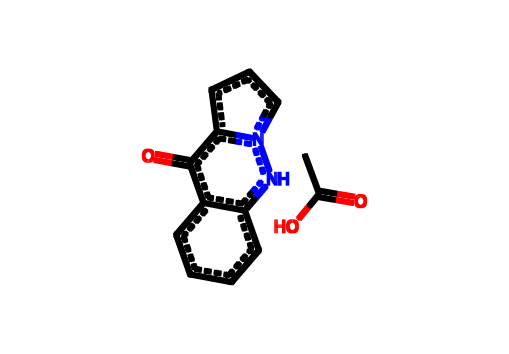 CC(=O)O.O=c1c2ccccc2[nH]n2cccc12